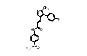 Cn1ncc(/C=C/C(=O)Nc2ccc([S+](C)[O-])cc2)c1-c1ccc(F)cc1